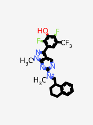 Cn1nc(-c2cc(C(F)(F)F)c(F)c(O)c2F)c2cnc(/[N+](C)=C/C3CCCc4ccccc43)nc21